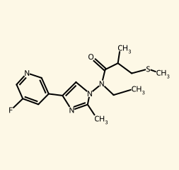 CCN(C(=O)C(C)CSC)n1cc(-c2cncc(F)c2)nc1C